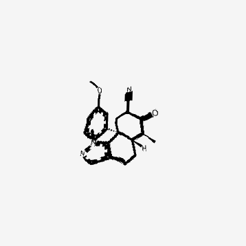 COc1cccc([C@]23CC(C#N)C(=O)[C@@H](C)[C@@H]2CCc2cnn(C)c23)c1